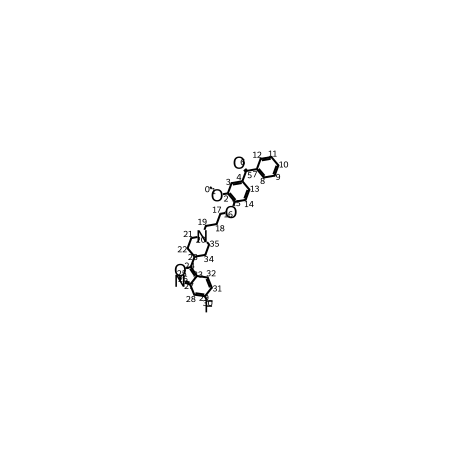 COc1cc(C(=O)c2ccccc2)ccc1OCCCN1CCC(c2onc3cc(F)ccc23)CC1